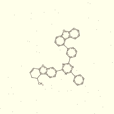 CC1CC=Cc2oc3cc(-c4nc(-c5ccccc5)nc(-c5cccc(-c6cccc7oc8ccccc8c67)c5)n4)ccc3c21